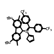 Cc1cc2c(cc1C(C)(C)C)-c1cc(C(C)(C)C)c(C)cc1[CH]2[Zr]([C]1=CC=CC1)=[C](c1ccc(C(F)(F)F)cc1)c1ccc(C(F)(F)F)cc1